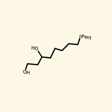 CCCCCCCCCCC(O)CCO